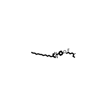 CCCCCCCCCCCCc1cnc(-c2ccc(OC[C@H](F)CC[C@@H](C)CC)cc2)nc1